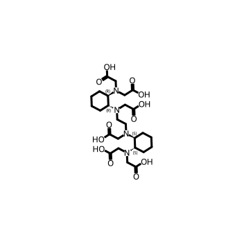 O=C(O)CN(CCN(CC(=O)O)[C@H]1CCCC[C@@H]1N(CC(=O)O)CC(=O)O)[C@@H]1CCCC[C@H]1N(CC(=O)O)CC(=O)O